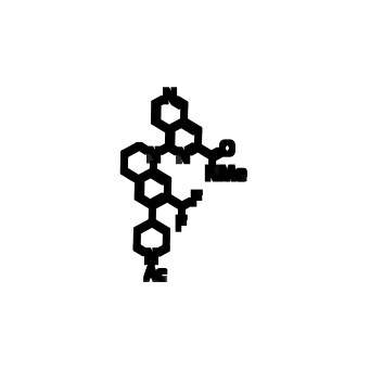 CNC(=O)c1cc2cnccc2c(N2CCCc3cc(C4CCN(C(C)=O)CC4)c(C(F)F)cc32)n1